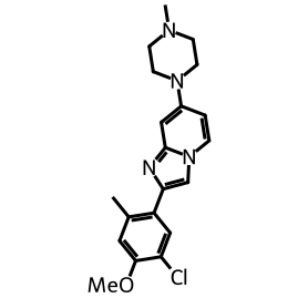 COc1cc(C)c(-c2cn3ccc(N4CCN(C)CC4)cc3n2)cc1Cl